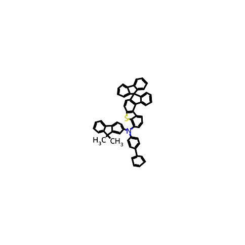 CC1(C)c2ccccc2-c2ccc(N(c3ccc(-c4ccccc4)cc3)c3cccc4c3sc3ccc5c(c34)-c3ccccc3C53c4ccccc4-c4ccccc43)cc21